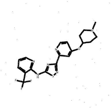 CN1CCC(Oc2ccnc(-c3nsc(Nc4ncccc4C(F)(F)F)n3)c2)CC1